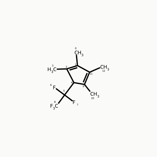 CC1=C(C)C(C(F)(F)C(F)(F)F)C(C)=C1C